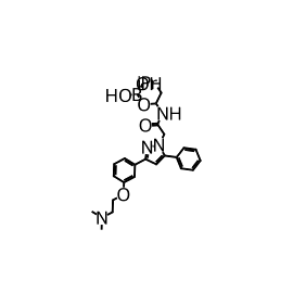 CC(C)CC(NC(=O)Cn1nc(-c2cccc(OCCN(C)C)c2)cc1-c1ccccc1)OB(O)O